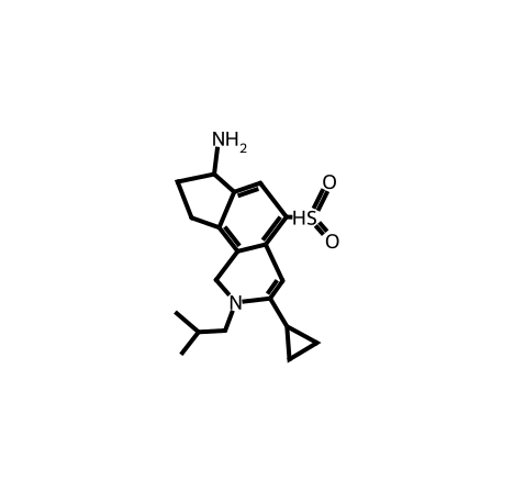 CC(C)CN1Cc2c(c([SH](=O)=O)cc3c2CCC3N)C=C1C1CC1